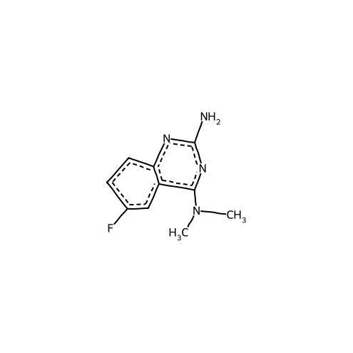 CN(C)c1nc(N)nc2ccc(F)cc12